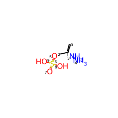 C=CC.N.N.O=S(=O)(O)O